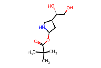 CC(C)(C)C(=O)OC1C[C@H]([C@H](O)CO)CN1